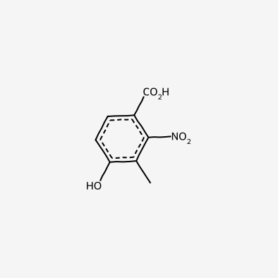 Cc1c(O)ccc(C(=O)O)c1[N+](=O)[O-]